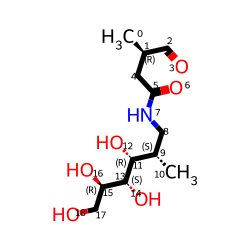 C[C@@H](C=O)CC(=O)NC[C@H](C)[C@@H](O)[C@H](O)[C@H](O)CO